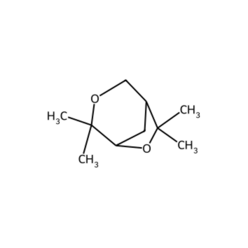 CC1(C)OC2CC1COC2(C)C